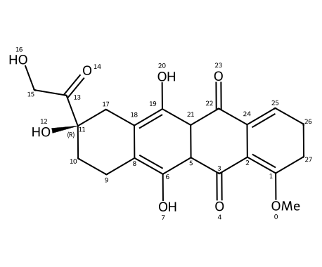 COC1=C2C(=O)C3C(O)=C4CC[C@](O)(C(=O)CO)CC4=C(O)C3C(=O)C2=CCC1